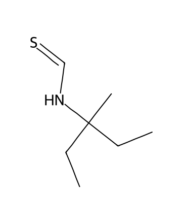 CCC(C)(CC)NC=S